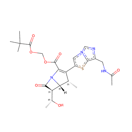 CC(=O)NCc1ncn2cc(C3=C(C(=O)OCOC(=O)C(C)(C)C)N4C(=O)[C@H]([C@@H](C)O)[C@H]4[C@H]3C)sc12